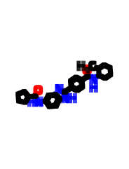 CC1CCCCC1NC(=O)c1ccc(-c2nc3cc(NC(=O)C4CCCC4)ccc3[nH]2)cc1